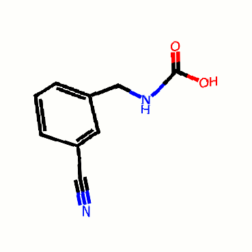 N#Cc1cccc(CNC(=O)O)c1